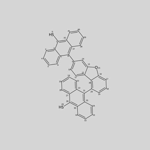 Sc1c2ccccc2c(-c2ccc3c(c2)oc2cccc(-c4c5ccccc5c(S)c5ccccc45)c23)c2ccccc12